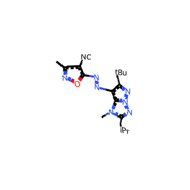 [C-]#[N+]c1c(C)noc1/N=N/c1c(C(C)(C)C)nn2nc(C(C)C)n(C)c12